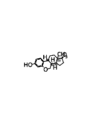 C[C@]12CC[C@@H]3c4ccc(O)cc4OC[C@@H]3[C@@H]1CCC2=O